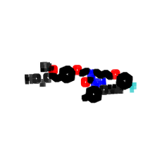 CCOC(Cc1ccc(OCCN(CCCCOc2ccc(F)cc2)C(=O)Nc2cc(C)ccc2OC)cc1)C(=O)O